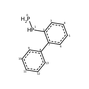 PPc1ccccc1-c1ccccc1